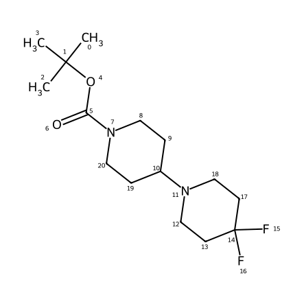 CC(C)(C)OC(=O)N1CCC(N2CCC(F)(F)CC2)CC1